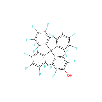 Oc1c(F)c(F)c([B-](c2c(F)c(F)c(F)c(F)c2F)(c2c(F)c(F)c(F)c(F)c2F)c2c(F)c(F)c(F)c(F)c2F)c(F)c1F